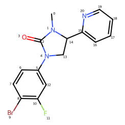 CN1C(=O)N(c2ccc(Br)c(F)c2)CC1c1ccccn1